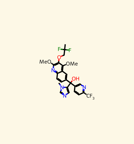 COc1nc2ccc(C(O)(c3ccc(C(F)(F)F)nc3)c3cncn3C)cc2c(OC)c1OCC(C)(F)F